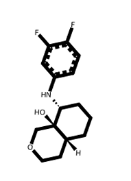 O[C@]12COCC[C@H]1CCC[C@H]2Nc1ccc(F)c(F)c1